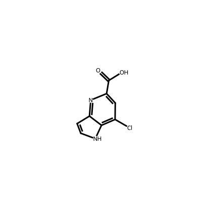 O=C(O)c1cc(Cl)c2[nH]ccc2n1